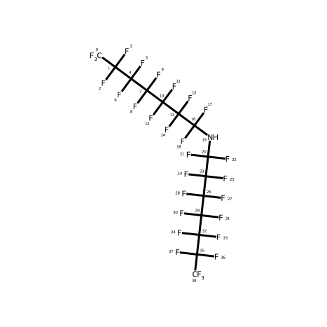 FC(F)(F)C(F)(F)C(F)(F)C(F)(F)C(F)(F)C(F)(F)C(F)(F)NC(F)(F)C(F)(F)C(F)(F)C(F)(F)C(F)(F)C(F)(F)C(F)(F)F